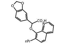 CCCc1ccc2cccnc2c1OC(C(=O)O)c1ccc2c(c1)OCO2